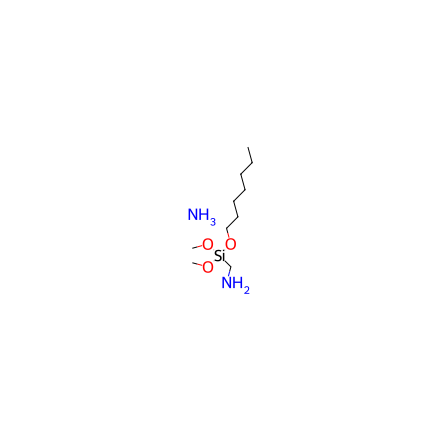 CCCCCCCO[Si](CN)(OC)OC.N